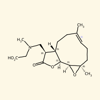 C/C1=C\CC[C@@]2(C)O[C@H]2[C@H]2OC(=O)[C@@H](CN(C)CC(=O)O)[C@@H]2CC1